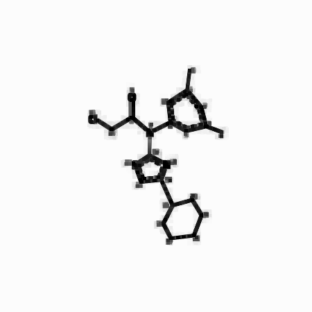 Cc1cc(C)cc(N(C(=O)CCl)c2nc(C3CCCCC3)cs2)c1